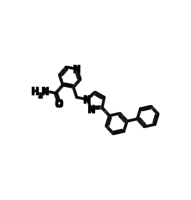 NC(=O)c1ccncc1Cn1ccc(-c2cccc(-c3ccccc3)c2)n1